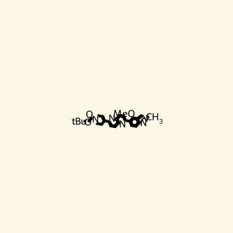 COc1c(-c2ccc3nc(C4=CCN(C(=O)OC(C)(C)C)CC4)ccc3n2)ccc2nn(C)cc12